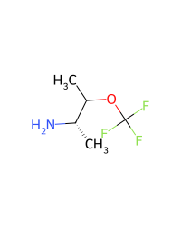 CC(OC(F)(F)F)[C@H](C)N